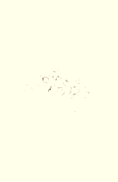 CCCCOc1cc(CN2CCCC2)c(C(F)(F)F)c2c1C(=O)C1=C(O)[C@]3(O)C(=O)c4c(OCCCC)noc4[C@@H](N(C)C)[C@@H]3C[C@@H]1C2